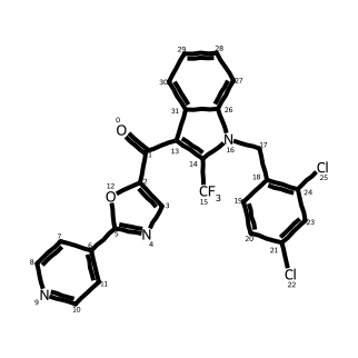 O=C(c1cnc(-c2ccncc2)o1)c1c(C(F)(F)F)n(Cc2ccc(Cl)cc2Cl)c2ccccc12